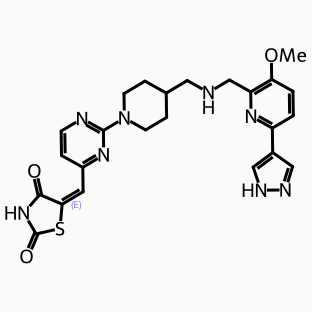 COc1ccc(-c2cn[nH]c2)nc1CNCC1CCN(c2nccc(/C=C3/SC(=O)NC3=O)n2)CC1